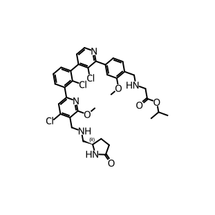 COc1cc(-c2nccc(-c3cccc(-c4cc(Cl)c(CNC[C@H]5CCC(=O)N5)c(OC)n4)c3Cl)c2Cl)ccc1CNCC(=O)OC(C)C